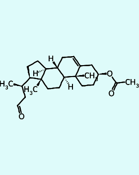 CC(=O)O[C@H]1CC[C@@]2(C)C(=CC[C@H]3[C@@H]4CC[C@H]([C@H](C)CC=O)[C@@]4(C)CC[C@@H]32)C1